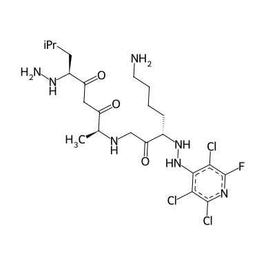 CC(C)C[C@H](NN)C(=O)CC(=O)[C@H](C)NCC(=O)[C@H](CCCCN)NNc1c(Cl)c(F)nc(Cl)c1Cl